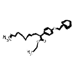 CCCCCCCCC(C(=O)OCC)c1ccc(OCc2ccccc2)cc1